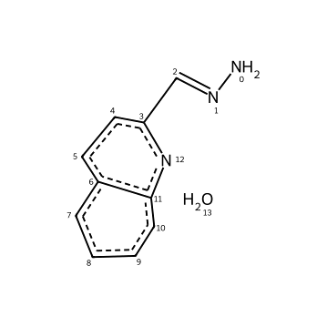 NN=Cc1ccc2ccccc2n1.O